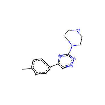 Cc1ccc(-c2cnnc(N3CCNCC3)n2)cc1